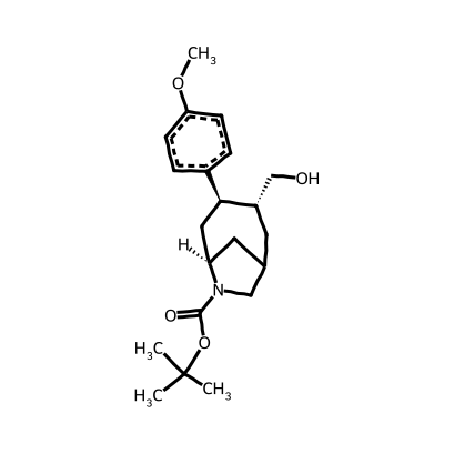 COc1ccc([C@@H]2C[C@H]3CC(C[C@H]2CO)CN3C(=O)OC(C)(C)C)cc1